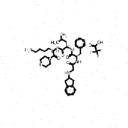 CC(C)C[C@@H](NC(=O)[C@@H](Cc1ccccc1)NC(=O)CNC1Cc2ccccc2C1)C(=O)N[C@H](CCCCN)C(=O)N1CCOCC1.O=C(O)C(F)(F)F